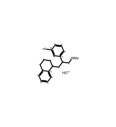 CNCC(CC1CCCc2ccccc21)c1cccc(F)c1.Cl